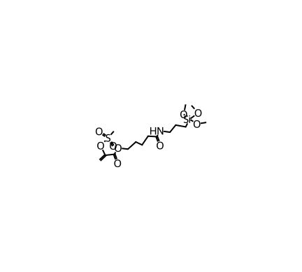 C=C(OS(C)(=O)=O)C(=O)OCCCCC(=O)NCCC[Si](OC)(OC)OC